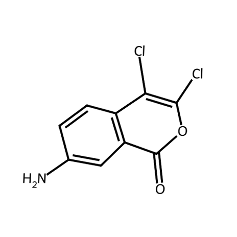 Nc1ccc2c(Cl)c(Cl)oc(=O)c2c1